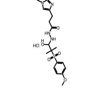 COc1ccc(S(=O)(=O)C(C)(C)C(O)NNC(=O)CCc2cn(C)cn2)cc1.Cl